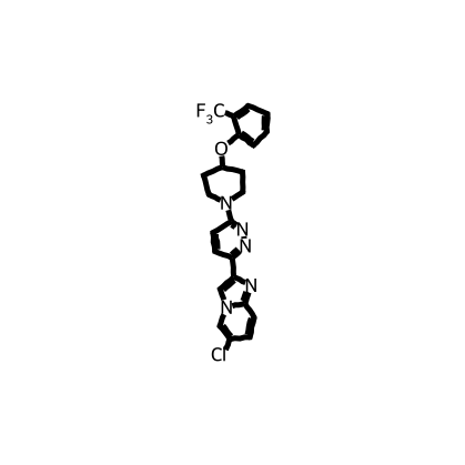 FC(F)(F)c1ccccc1OC1CCN(c2ccc(-c3cn4cc(Cl)ccc4n3)nn2)CC1